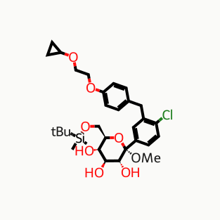 CO[C@@]1(c2ccc(Cl)c(Cc3ccc(OCCOC4CC4)cc3)c2)O[C@H](CO[Si](C)(C)C(C)(C)C)[C@@H](O)[C@H](O)[C@H]1O